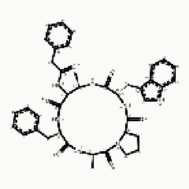 C[C@H]1NC(=O)[C@@H](Cc2ccccc2)NC(=O)C(NC(=O)Cc2ccccc2)[C@@H](C)OC(=O)[C@H](Cc2c[nH]c3ccccc23)NC(=O)C2CCCN2C1=O